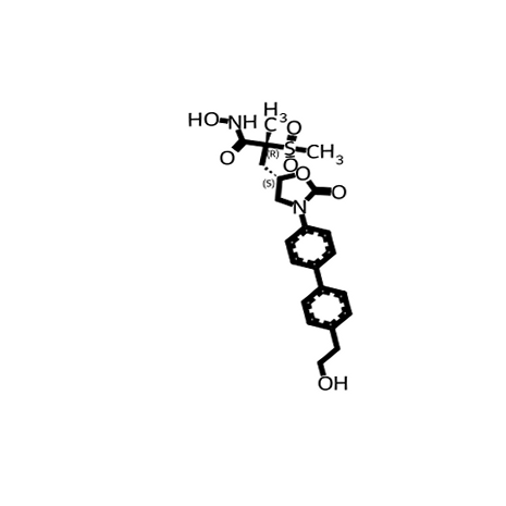 C[C@@](C[C@H]1CN(c2ccc(-c3ccc(CCO)cc3)cc2)C(=O)O1)(C(=O)NO)S(C)(=O)=O